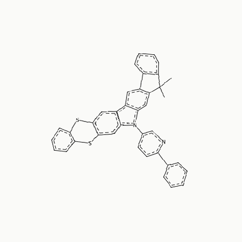 CC1(C)c2ccccc2-c2cc3c4cc5c(cc4n(-c4ccc(-c6ccccc6)nc4)c3cc21)Sc1ccccc1S5